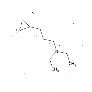 CCN(CC)CCCC1CN1